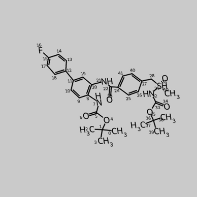 CC(C)(C)OC(=O)Nc1ccc(-c2ccc(F)cc2)cc1NC(=O)c1ccc(C[SH](C)(=O)NC(=O)OC(C)(C)C)cc1